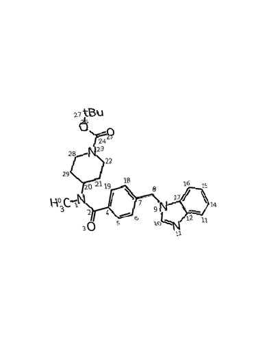 CN(C(=O)c1ccc(Cn2cnc3ccccc32)cc1)C1CCN(C(=O)OC(C)(C)C)CC1